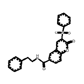 O=C(NCCc1ccccc1)c1ccc2oc(=O)c(S(=O)(=O)c3ccccc3)cc2c1